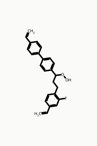 C=Cc1ccc(-c2ccc(C(CCc3ccc(C=C)cc3F)OO)cc2)cc1